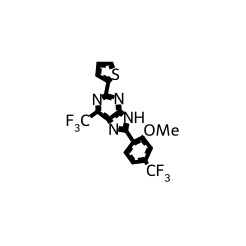 COc1cc(C(F)(F)F)ccc1-c1nc2c(C(F)(F)F)nc(-c3cccs3)nc2[nH]1